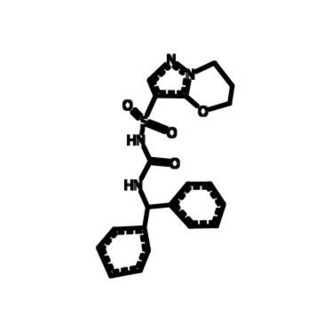 O=C(NC(c1ccccc1)c1ccccc1)NS(=O)(=O)c1cnn2c1OCCC2